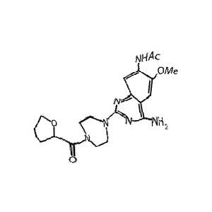 COc1cc2c(N)nc(N3CCN(C(=O)C4CCCO4)CC3)nc2cc1NC(C)=O